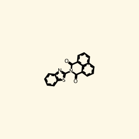 O=C1c2cccc3cccc(c23)C(=O)N1c1nc2ccccc2s1